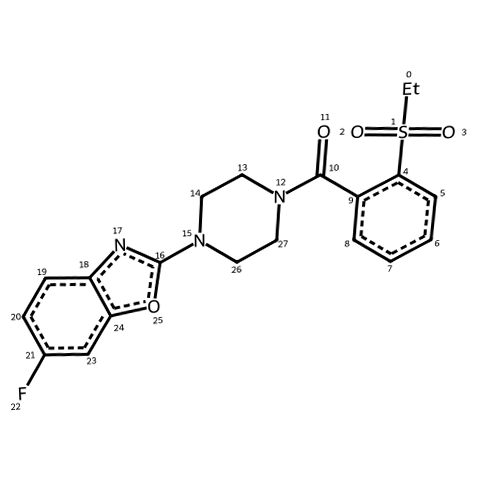 CCS(=O)(=O)c1ccccc1C(=O)N1CCN(c2nc3ccc(F)cc3o2)CC1